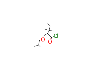 CCC(C)(C)C(COCC(C)C)C(=O)Cl